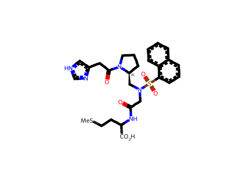 CSCCC(NC(=O)CN(C[C@@H]1CCCN1C(=O)Cc1c[nH]cn1)S(=O)(=O)c1cccc2ccccc12)C(=O)O